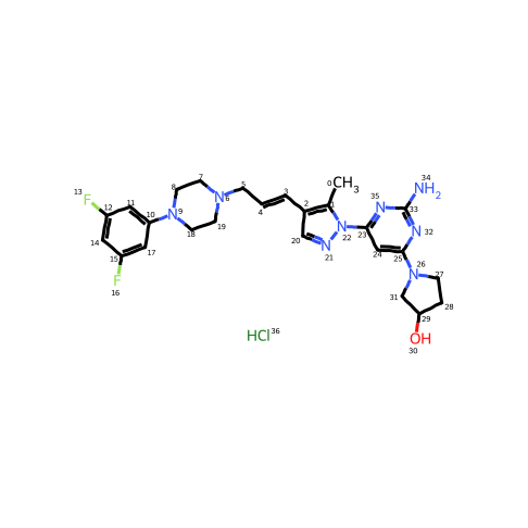 Cc1c(C=CCN2CCN(c3cc(F)cc(F)c3)CC2)cnn1-c1cc(N2CCC(O)C2)nc(N)n1.Cl